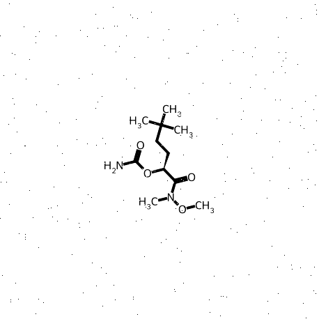 CON(C)C(=O)[C@H](CCC(C)(C)C)OC(N)=O